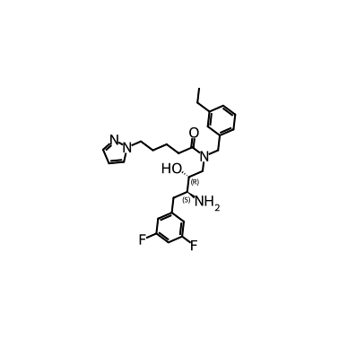 CCc1cccc(CN(C[C@@H](O)[C@@H](N)Cc2cc(F)cc(F)c2)C(=O)CCCCn2cccn2)c1